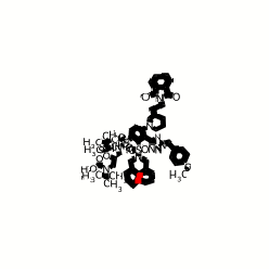 COc1ccc(Cn2nnc(-c3c(N4CCCC(=CCN5C(=O)c6ccccc6C5=O)C4)ccc(S(=O)(=O)NC[C@@H](CN(C(=O)O)C(C)(C)C)O[Si](C)(C)C(C)(C)C)c3S(=O)(=O)N(Cc3ccccc3)Cc3ccccc3)n2)cc1